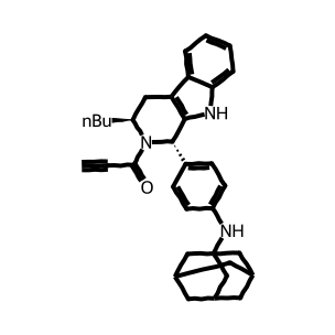 C#CC(=O)N1[C@@H](CCCC)Cc2c([nH]c3ccccc23)[C@@H]1c1ccc(NC23CC4CC(CC(C4)C2)C3)cc1